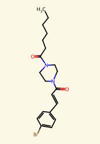 CCCCCCC(=O)N1CCN(C(=O)C=Cc2ccc(Br)cc2)CC1